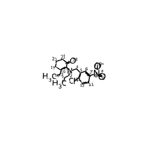 CCCN(Cc1cc([N+](=O)[O-])ccc1Cl)C1=C(CC)CCCC1=O